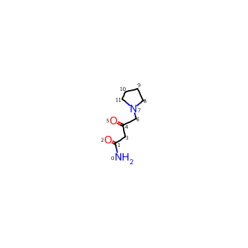 NC(=O)CC(=O)CN1CCCC1